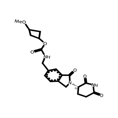 COC1CC(OC(=O)NCc2ccc3c(c2)C(=O)N([C@H]2CCC(=O)NC2=O)C3)C1